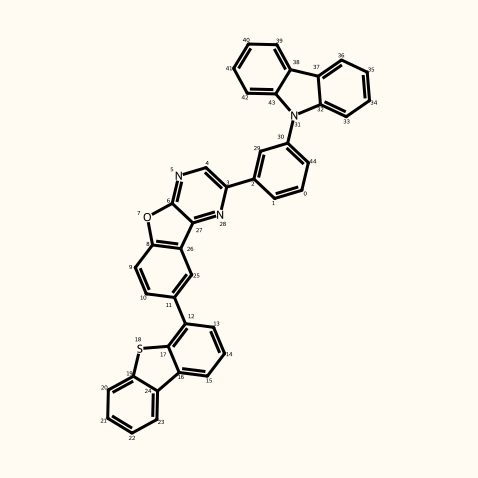 c1cc(-c2cnc3oc4ccc(-c5cccc6c5sc5ccccc56)cc4c3n2)cc(-n2c3ccccc3c3ccccc32)c1